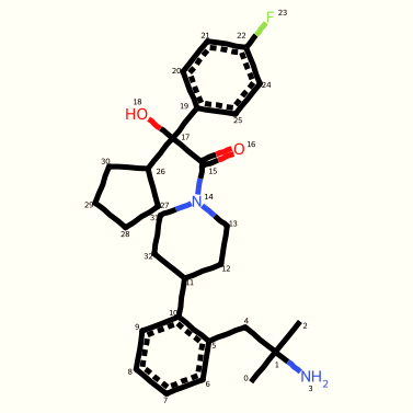 CC(C)(N)Cc1ccccc1C1CCN(C(=O)C(O)(c2ccc(F)cc2)C2CCCC2)CC1